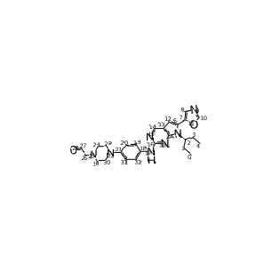 CCC(CC)n1c(-c2cnco2)cc2cnc(Nc3ccc(N4CCN(CC=O)CC4)cc3)nc21